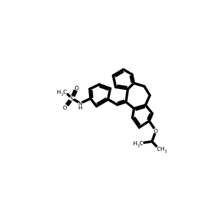 CC(C)Oc1ccc2c(c1)CCc1ccccc1C2=Cc1cccc(NS(C)(=O)=O)c1